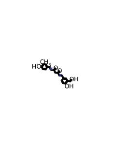 Cc1cc(/C=C/C(=O)CC(=O)/C=C/c2ccc(O)c(CO)c2)ccc1O